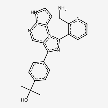 CC(C)(O)c1ccc(-c2nc(-c3cccnc3CN)n3c2cnc2[nH]ccc23)cc1